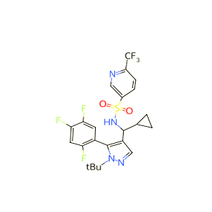 CC(C)(C)n1ncc(C(NS(=O)(=O)c2ccc(C(F)(F)F)nc2)C2CC2)c1-c1cc(F)c(F)cc1F